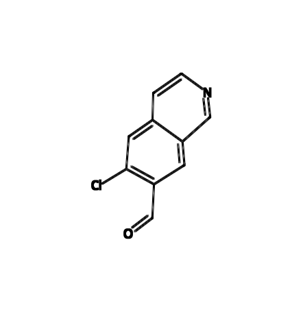 O=Cc1cc2cnccc2cc1Cl